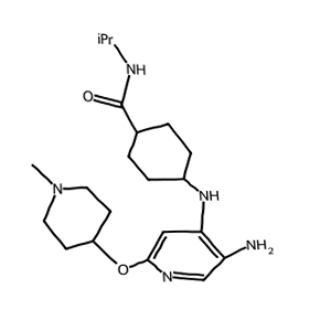 CC(C)NC(=O)C1CCC(Nc2cc(OC3CCN(C)CC3)ncc2N)CC1